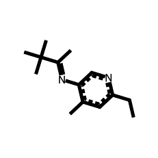 CCc1cc(C)c(/N=C(\C)C(C)(C)C)cn1